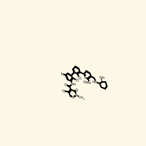 COc1nc(-c2cccc(-c3cc(F)cc(NC(=O)c4c(Cl)cnn(C)c4=O)c3Cl)c2Cl)ccc1CNC1CCCC[C@@H]1O